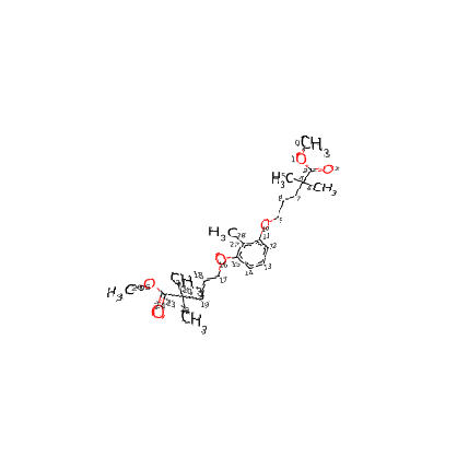 COC(=O)C(C)(C)CCCOc1cccc(OCCCC(C)(C)C(=O)OC)c1C